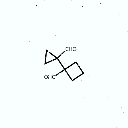 O=CC1(C2(C=O)CC2)CCC1